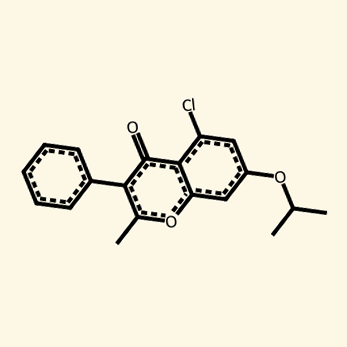 Cc1oc2cc(OC(C)C)cc(Cl)c2c(=O)c1-c1ccccc1